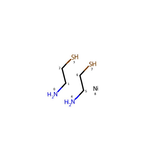 NCCS.NCCS.[Ni]